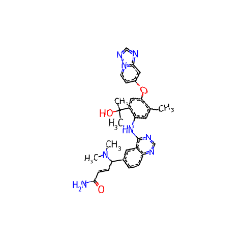 Cc1cc(Nc2ncnc3ccc(C(C=CC(N)=O)N(C)C)cc23)c(C(C)(C)O)cc1Oc1ccn2ncnc2c1